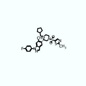 Cc1ncc(S(=O)(=O)N2CCN(CC3CCCC3)[C@@H](c3cc4cnn(-c5ccc(F)cc5)c4cc3C)C2)s1